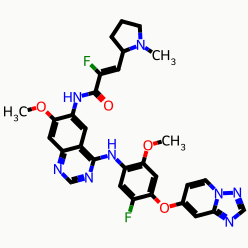 COc1cc2ncnc(Nc3cc(F)c(Oc4ccn5ncnc5c4)cc3OC)c2cc1NC(=O)C(F)=CC1CCCN1C